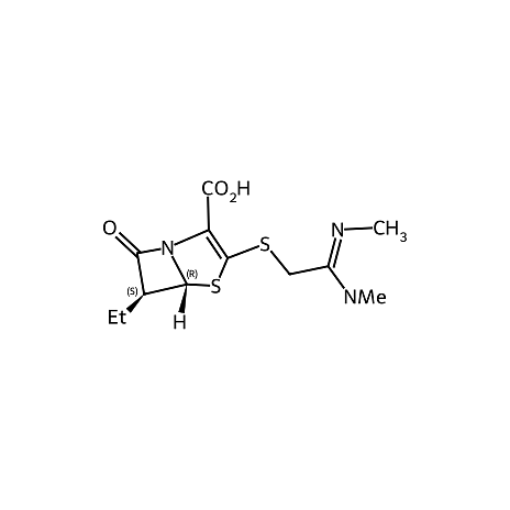 CC[C@H]1C(=O)N2C(C(=O)O)=C(SCC(=NC)NC)S[C@H]12